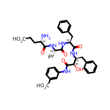 CC(C)[C@H](NC(=O)[C@@H](N)CCC(=O)O)C(=O)N[C@@H](Cc1ccccc1)C(=O)N[C@@H](Cc1ccccc1)[C@@H](O)C(=O)Nc1cccc(C(=O)O)c1